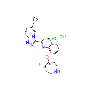 Cl.Cl.F[C@H]1CCNCC[C@@H]1Oc1cccc2ccc(-c3nnc4ccc(C5CC5)cn34)nc12